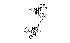 NC(=NCC(F)(F)F)Nc1ccnc(CCCCCNC(=O)C(N=C=O)OCc2ccccc2)n1